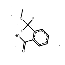 COC(F)(F)c1ccccc1C(=O)O